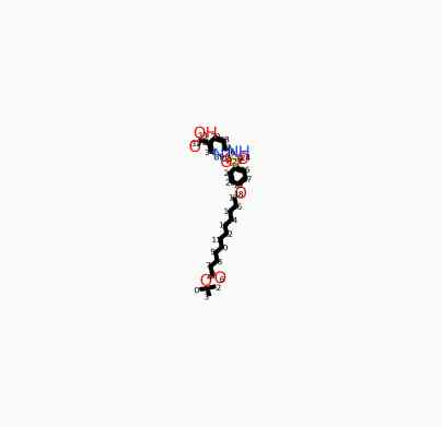 CC(C)(C)OC(=O)CCCCCCCCCCCOc1ccc(S(=O)(=O)Nc2ccc(C(=O)O)cn2)cc1